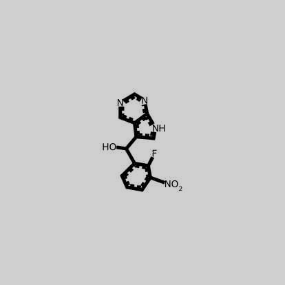 O=[N+]([O-])c1cccc(C(O)c2c[nH]c3ncncc23)c1F